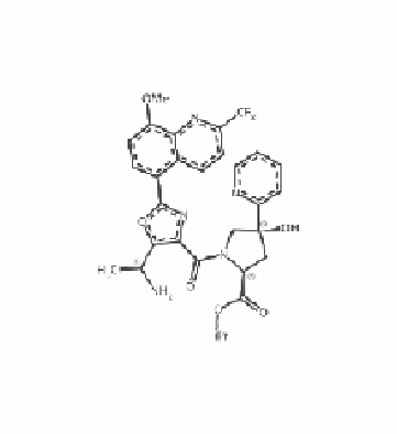 COc1ccc(-c2nc(C(=O)N3C[C@](O)(c4ccccn4)C[C@H]3C(=O)OC(C)C)c([C@H](C)N)o2)c2ccc(C(F)(F)F)nc12